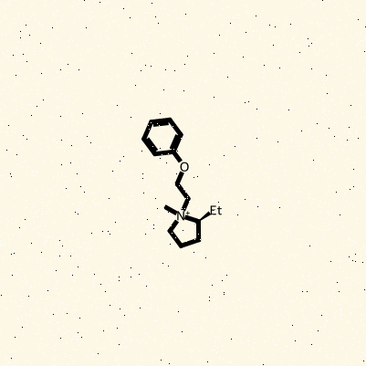 CC[C@H]1CCC[N+]1(C)CCOc1ccccc1